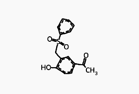 CC(=O)c1ccc(O)c(CS(=O)(=O)c2ccccc2)c1